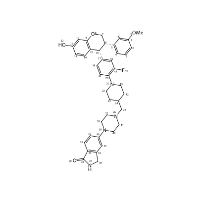 COc1cccc([C@H]2COc3cc(O)ccc3[C@H]2c2ccc(N3CCC(CN4CCN(c5ccc6c(c5)CNC6=O)CC4)CC3)c(F)c2)c1